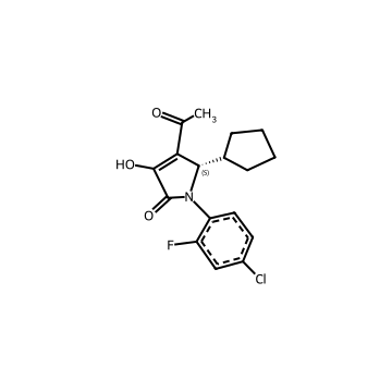 CC(=O)C1=C(O)C(=O)N(c2ccc(Cl)cc2F)[C@H]1C1CCCC1